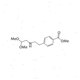 COC(=O)c1ccc(CCNCC(OC)OC)cc1